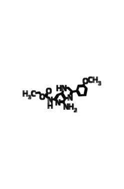 CCOC(=O)Nc1cc2c(c(N)n1)N=C(c1cccc(OC)c1)CN2